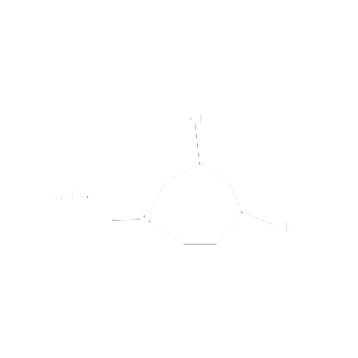 CCCCCCCN1CCC(C)CC(C)C1